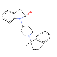 CC1(N2CCC(N3C(=O)Cc4ccccc43)CC2)CCc2ccccc21